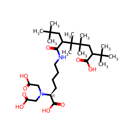 CC(C)(C)CC(C(=O)NCCCC[C@@H](C(=O)O)N(CC(=O)O)CC(=O)O)C(C)(C)C(C)(C)CC(C(=O)O)C(C)(C)C